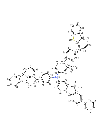 CC1(C)c2cc(-c3ccccc3)ccc2-c2ccc(N(c3ccc(-c4ccc5c6c(cccc46)-c4ccccc4-5)cc3)c3ccc4c(c3)C(C)(C)c3cc(-c5cccc6c5sc5ccccc56)ccc3-4)cc21